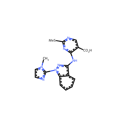 CSc1ncc(C(=O)O)c(Nc2nn(-c3nccn3C)c3ccccc23)n1